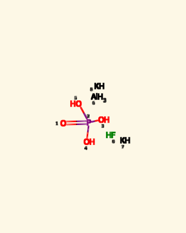 F.O=P(O)(O)O.[AlH3].[KH].[KH]